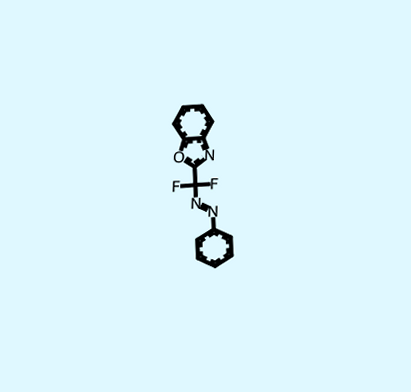 FC(F)(N=Nc1ccccc1)c1nc2ccccc2o1